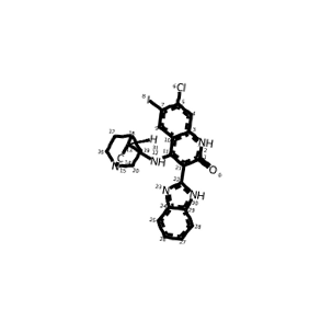 O=c1[nH]c2cc(Cl)c(I)cc2c(N[C@@H]2CN3CCC2CC3)c1-c1nc2ccccc2[nH]1